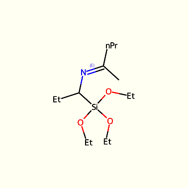 CCC/C(C)=N/C(CC)[Si](OCC)(OCC)OCC